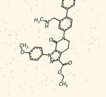 CCOC(=O)c1nn(-c2ccc(OC)cc2)c2c1CCN(c1ccc(-c3ccccc3)c(CNC)c1)C2=O